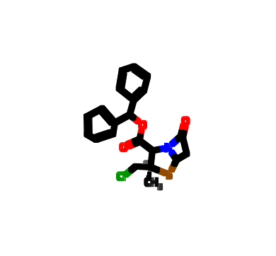 C[C@@]1(CCl)SC2CC(=O)N2C1C(=O)OC(c1ccccc1)c1ccccc1